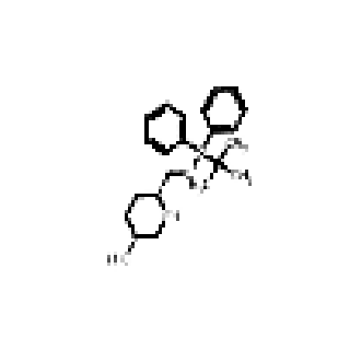 C[C@H]1CC[C@@H](CO[Si](c2ccccc2)(c2ccccc2)C(C)(C)C)NC1